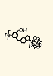 CS(=O)(=O)N(C(=O)NC1CCc2cc(Cc3cc(CO)cc(C(F)(F)F)c3)ccc21)S(C)(=O)=O